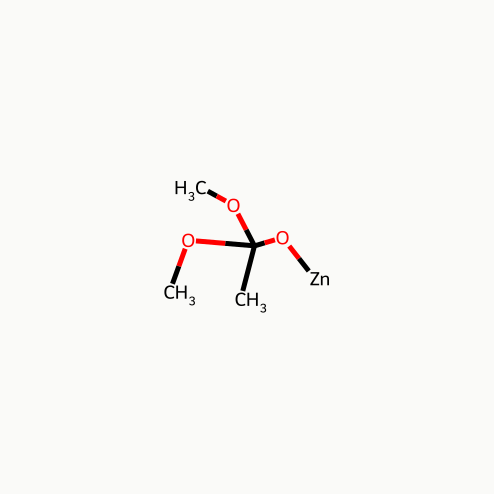 COC(C)(OC)[O][Zn]